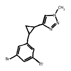 C[CH]c1cc(Br)cc(C2CC2c2cn(C)nn2)c1